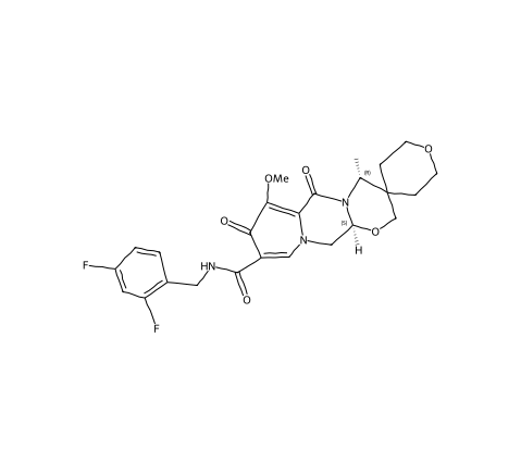 COc1c2n(cc(C(=O)NCc3ccc(F)cc3F)c1=O)C[C@@H]1OCC3(CCOCC3)[C@@H](C)N1C2=O